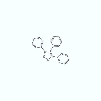 b1oc(-c2ccccc2)c(-c2ccccc2)c1-c1ccccc1